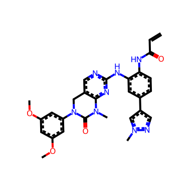 C=CC(=O)Nc1ccc(-c2cnn(C)c2)cc1Nc1ncc2c(n1)N(C)C(=O)N(c1cc(OC)cc(OC)c1)C2